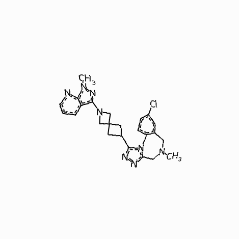 CN1Cc2cc(Cl)ccc2-n2c(nnc2C2CC3(C2)CN(c2nn(C)c4ncccc24)C3)C1